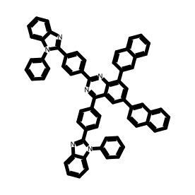 c1ccc(-n2c(-c3ccc(-c4nc(-c5ccc(-c6nc7ccccc7n6-c6ccccc6)cc5)c5cc(-c6ccc7ccccc7c6)cc(-c6ccc7ccccc7c6)c5n4)cc3)nc3ccccc32)cc1